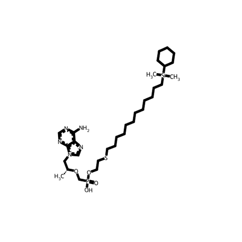 C[C@H](Cn1cnc2c(N)ncnc21)OCP(=O)(O)OCCSCCCCCCCCCCCC[Si](C)(C)C1CCCCC1